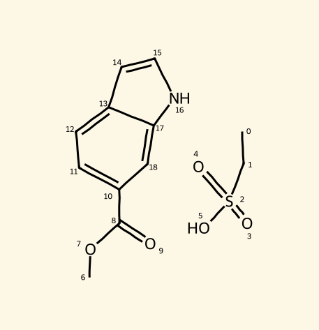 CCS(=O)(=O)O.COC(=O)c1ccc2cc[nH]c2c1